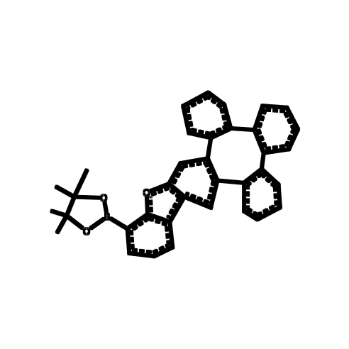 CC1(C)OB(c2cccc3c2oc2cc4c(cc23)-c2ccccc2-c2ccccc2-c2ccccc2-4)OC1(C)C